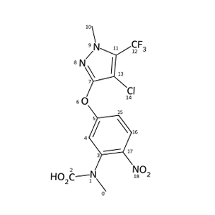 CN(C(=O)O)c1cc(Oc2nn(C)c(C(F)(F)F)c2Cl)ccc1[N+](=O)[O-]